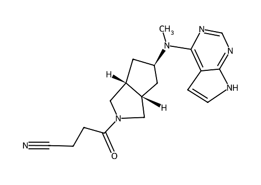 CN(c1ncnc2[nH]ccc12)[C@H]1C[C@@H]2CN(C(=O)CCC#N)C[C@@H]2C1